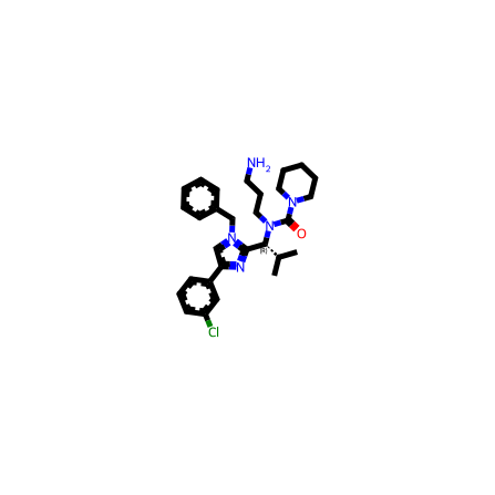 CC(C)[C@H](c1nc(-c2cccc(Cl)c2)cn1Cc1ccccc1)N(CCCN)C(=O)N1CCCCC1